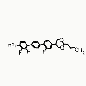 C=CCCC1OCC(c2ccc(-c3ccc(-c4ccc(CCC)c(F)c4F)cc3)c(F)c2)CO1